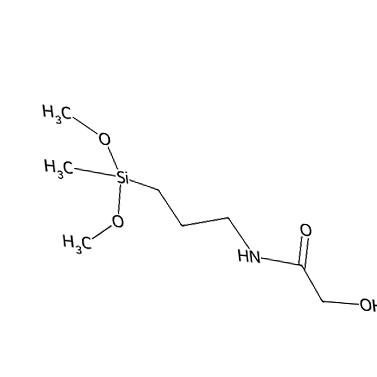 CO[Si](C)(CCCNC(=O)CO)OC